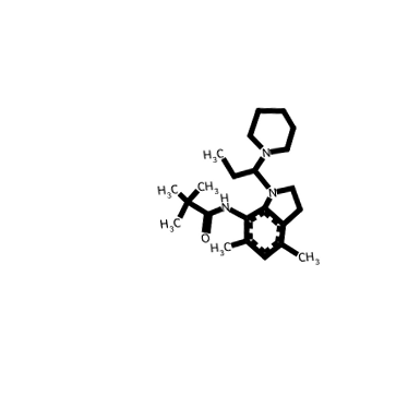 CCC(N1CCCCC1)N1CCc2c(C)cc(C)c(NC(=O)C(C)(C)C)c21